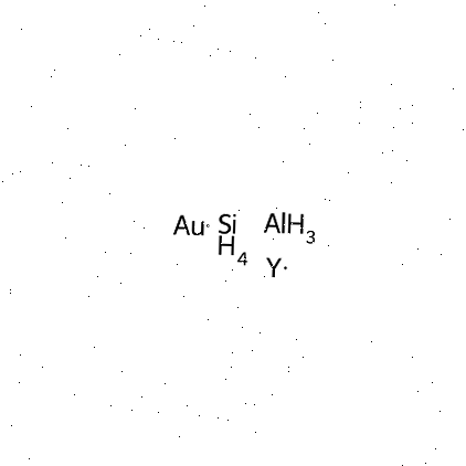 [AlH3].[Au].[SiH4].[Y]